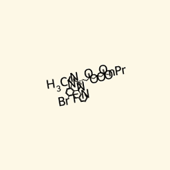 CCCOC(=O)OCOC(=O)CC[C@@H]1N=C(c2ccccn2)c2c(ccc(Br)c2F)-n2c(C)cnc21